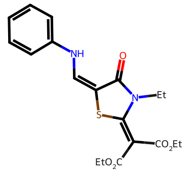 CCOC(=O)C(C(=O)OCC)=c1s/c(=C/Nc2ccccc2)c(=O)n1CC